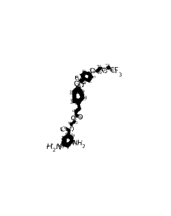 Nc1cc(N)cc(C(=O)OCCOC(=O)/C=C/c2ccc(OC(F)(F)c3ccc(OCCOCC(F)(F)F)cc3)cc2)c1